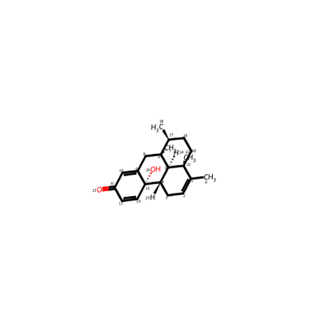 CC1=CC[C@H]2[C@H]3[C@](C)(CC4=CC(=O)C=C[C@@]42O)[C@@H](C)CC[C@]13C